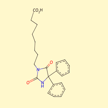 O=C(O)CCCCCCCN1C(=O)NC(c2ccccc2)(c2ccccc2)C1=O